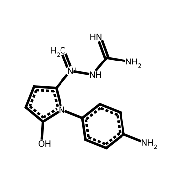 C=[N+](NC(=N)N)c1ccc(O)n1-c1ccc(N)cc1